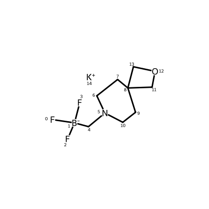 F[B-](F)(F)CN1CCC2(CC1)COC2.[K+]